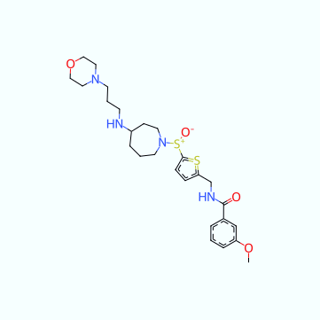 COc1cccc(C(=O)NCc2ccc([S+]([O-])N3CCCC(NCCCN4CCOCC4)CC3)s2)c1